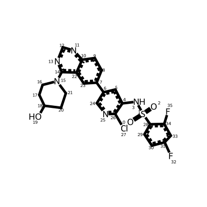 O=S(=O)(Nc1cc(-c2ccc3ncnc(N4CCC(O)CC4)c3c2)cnc1Cl)c1ccc(F)cc1F